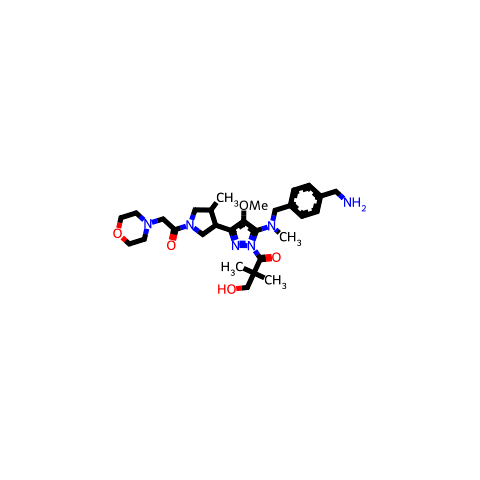 COc1c(C2CN(C(=O)CN3CCOCC3)CC2C)nn(C(=O)C(C)(C)CO)c1N(C)Cc1ccc(CN)cc1